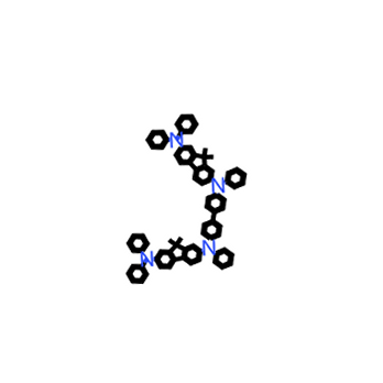 CC1(C)c2cc(N(c3ccccc3)c3ccccc3)ccc2-c2ccc(N(c3ccccc3)c3ccc(-c4ccc(N(c5ccccc5)c5ccc6c(c5)C(C)(C)c5cc(N(c7ccccc7)c7ccccc7)ccc5-6)cc4)cc3)cc21